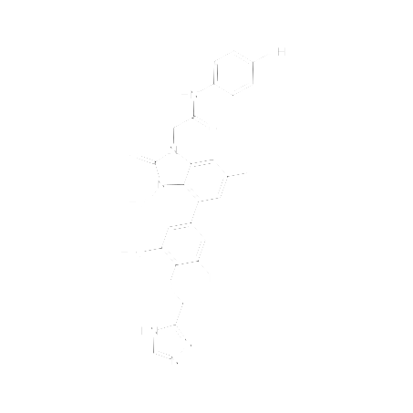 Cc1ccc(NC(=O)Cn2c(=O)n(C)c3c(-c4cc(C)c(OCc5nnc[nH]5)c(F)c4)cc(Cl)cc32)cc1